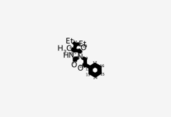 CCC(CC)C1(C)NC(=O)N(CC(=O)c2ccccc2)C1=O